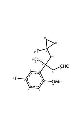 COc1ccc(F)cc1C(C)(CC=O)CC1(F)CC1